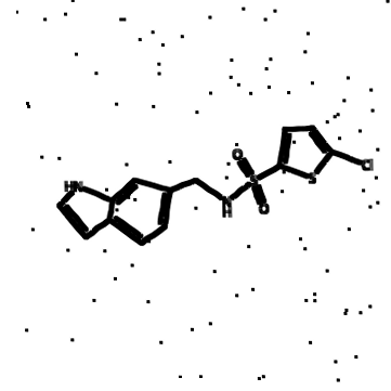 O=S(=O)(NCc1ccc2cc[nH]c2c1)c1ccc(Cl)s1